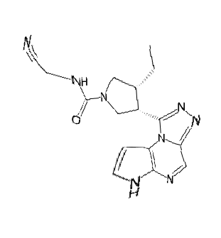 CC[C@H]1CN(C(=O)NCC#N)C[C@H]1c1nnc2cnc3[nH]ccc3n12